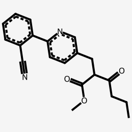 CCCC(=O)C(Cc1ccc(-c2ccccc2C#N)nc1)C(=O)OC